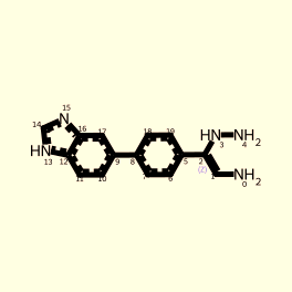 N/C=C(\NN)c1ccc(-c2ccc3[nH]cnc3c2)cc1